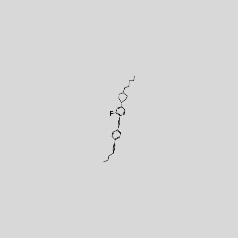 CCCCC#Cc1ccc(C#Cc2ccc([C@H]3CC[C@H](CCCCC)CC3)cc2F)cc1